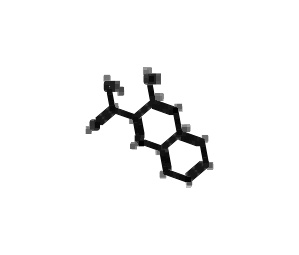 CC(=O)c1nc2ccccc2cc1O